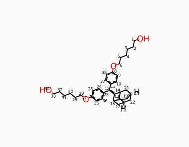 OCCCCCCOc1ccc(C(=C2C3C[C@H]4CC2C[C@@H](C3)C4)c2ccc(OCCCCCCO)cc2)cc1